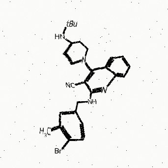 Cc1cc(CNc2nc3ccccc3c(N3CCC(NC(C)(C)C)CC3)c2C#N)ccc1Br